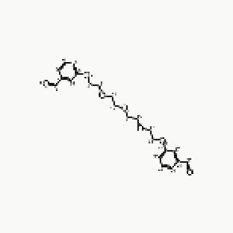 O=Cc1cccc(OCCOCCOCCOCCOc2cccc(C=O)c2)c1